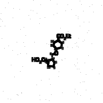 CCOC(=O)C1CCC(OC[C@@H]2CCCN2C(=O)O)CC1